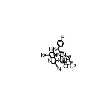 CC(C)(C)CNc1c(C#N)cnc2c(C#N)cc(NC(C3=CN(C4CC4)NN3)c3ccc(F)cc3)cc12